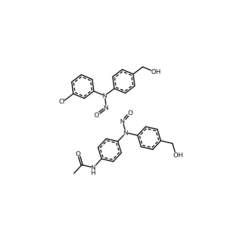 CC(=O)Nc1ccc(N(N=O)c2ccc(CO)cc2)cc1.O=NN(c1ccc(CO)cc1)c1cccc(Cl)c1